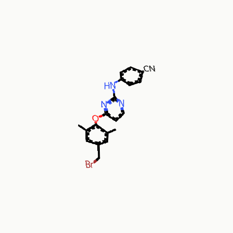 Cc1cc(CBr)cc(C)c1Oc1ccnc(Nc2ccc(C#N)cc2)n1